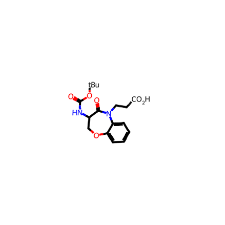 CC(C)(C)OC(=O)NC1COc2ccccc2N(CCC(=O)O)C1=O